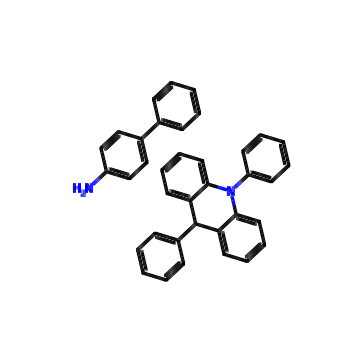 Nc1ccc(-c2ccccc2)cc1.c1ccc(C2c3ccccc3N(c3ccccc3)c3ccccc32)cc1